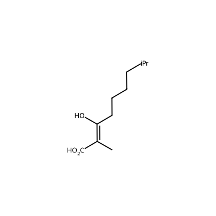 CC(C(=O)O)=C(O)CCCCC(C)C